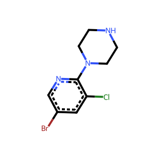 Clc1cc(Br)cnc1N1CCNCC1